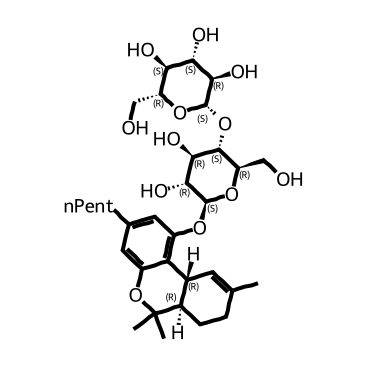 CCCCCc1cc(O[C@@H]2O[C@H](CO)[C@@H](O[C@@H]3O[C@H](CO)[C@@H](O)[C@H](O)[C@H]3O)[C@H](O)[C@H]2O)c2c(c1)OC(C)(C)[C@@H]1CCC(C)=C[C@@H]21